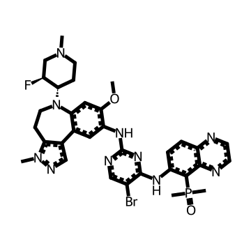 COc1cc2c(cc1Nc1ncc(Br)c(Nc3ccc4nccnc4c3P(C)(C)=O)n1)-c1cnn(C)c1CCN2[C@H]1CCN(C)C[C@@H]1F